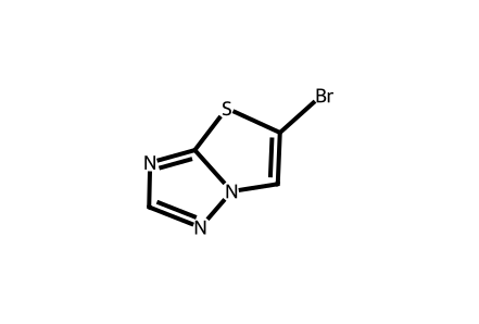 Brc1cn2ncnc2s1